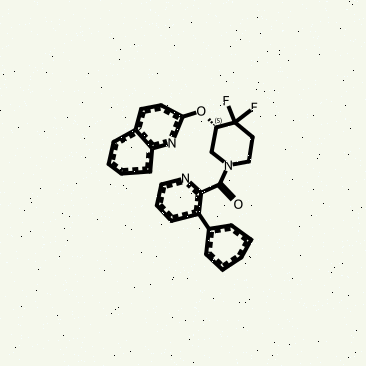 O=C(c1ncccc1-c1ccccc1)N1CCC(F)(F)[C@@H](Oc2ccc3ccccc3n2)C1